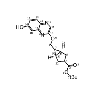 CC(C)(C)OC(=O)C1C[C@@H]2C(COc3cnc4ccc(O)cc4n3)[C@@H]2C1